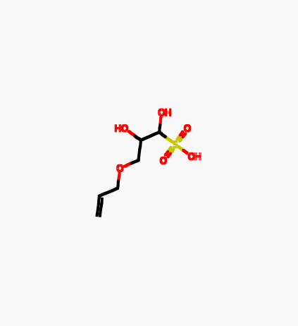 C=CCOCC(O)C(O)S(=O)(=O)O